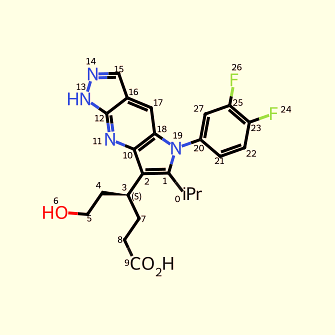 CC(C)c1c([C@H](CCO)CCC(=O)O)c2nc3[nH]ncc3cc2n1-c1ccc(F)c(F)c1